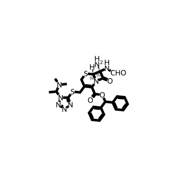 CC(N(C)C)n1nnnc1SCC1=C(C(=O)OC(c2ccccc2)c2ccccc2)N2C(=O)[C@](N)(NC=O)[C@@H]2SC1